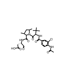 CC(=O)Nc1ccc(C(=O)NC(C(=O)N2C(C)CC(C)C2C(=O)N[C@H](C=O)CC(=O)O)C(C)(C)C)cc1Cl